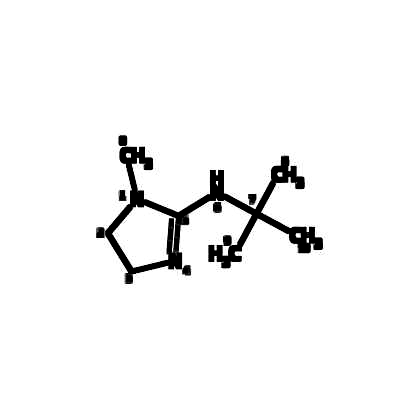 CN1CCN=C1NC(C)(C)C